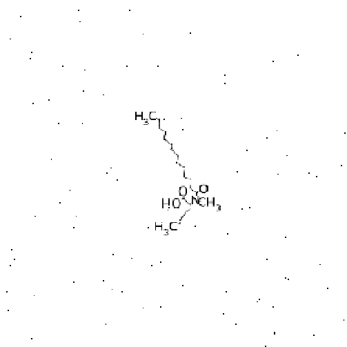 CCCCCCCCCCCCCC(=O)N(C)C(CCCC)C(=O)O